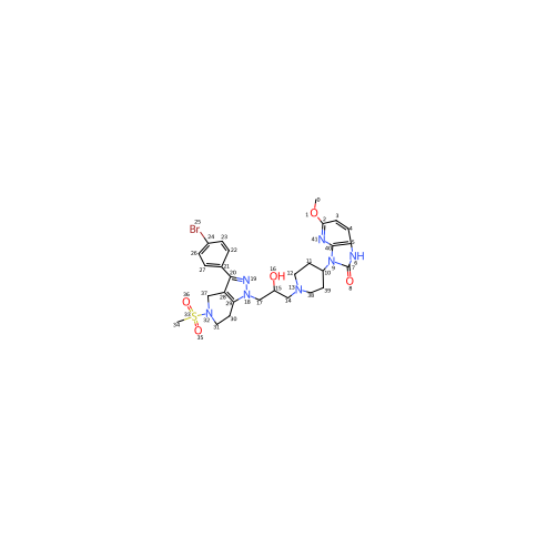 COc1ccc2[nH]c(=O)n(C3CCN(CC(O)Cn4nc(-c5ccc(Br)cc5)c5c4CCN(S(C)(=O)=O)C5)CC3)c2n1